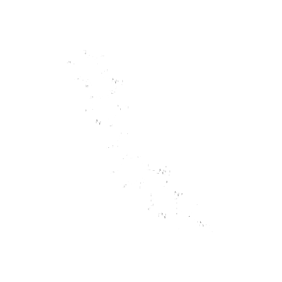 CC(C)(N)c1ncc2c(n1)[nH]c1cc(OCc3ncc4c(n3)[nH]c3ccccc34)ccc12